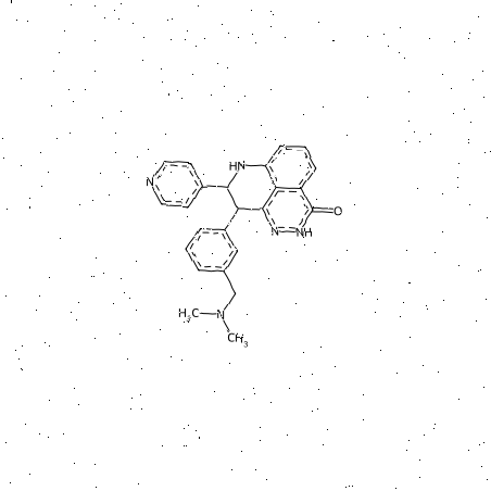 CN(C)Cc1cccc(C2c3n[nH]c(=O)c4cccc(c34)NC2c2ccncc2)c1